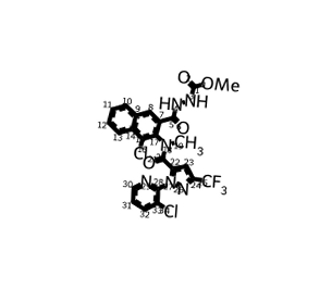 COC(=O)NNC(=O)c1cc2ccccc2c(Cl)c1N(C)C(=O)c1cc(C(F)(F)F)nn1-c1ncccc1Cl